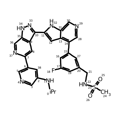 CC(C)Nc1cncc(-c2cc3c(-c4cc5c(-c6cc(F)cc(CNS(C)(=O)=O)c6)cncc5[nH]4)n[nH]c3cn2)c1